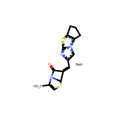 O=C(O)C1=CSC2/C(=C/c3cn4c5c(sc4n3)CCC5)C(=O)N12.[NaH]